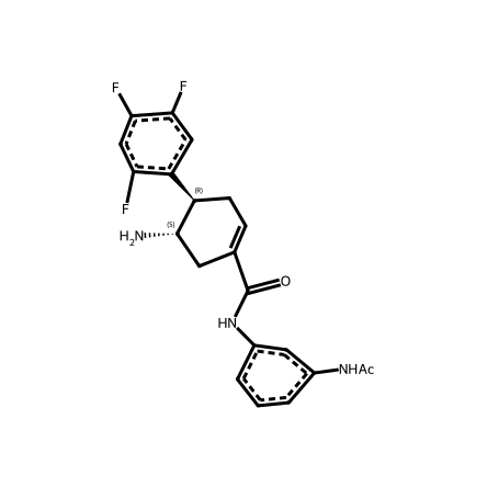 CC(=O)Nc1cccc(NC(=O)C2=CC[C@H](c3cc(F)c(F)cc3F)[C@@H](N)C2)c1